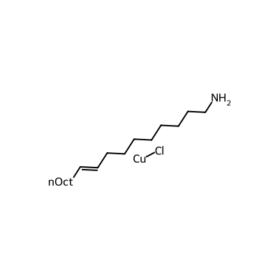 CCCCCCCCC=CCCCCCCCCN.[Cl][Cu]